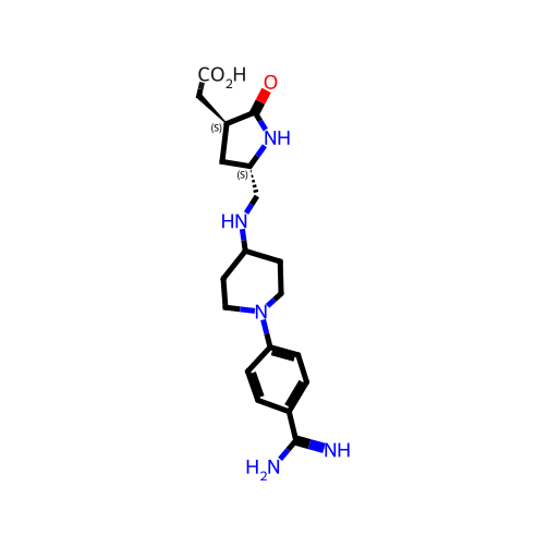 N=C(N)c1ccc(N2CCC(NC[C@@H]3C[C@@H](CC(=O)O)C(=O)N3)CC2)cc1